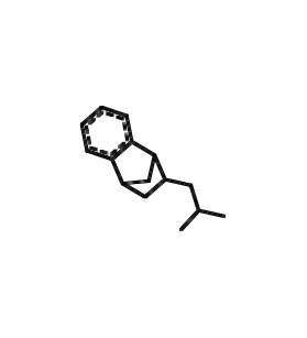 CC(C)CC1CC2CC1c1ccccc12